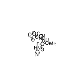 COc1cc(C(=O)NC2CCN(C)CC2)c(F)cc1Nc1ncc(C(F)(F)F)c(Oc2cccc3c2C(=O)C(C)(C)O3)n1